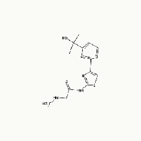 CC(C)(O)c1cccc(-c2csc(NC(=O)CNC(=O)O)n2)c1